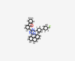 Fc1ccc(-c2ccc(-c3nc(-c4cccc5c4oc4ccccc45)nc(-c4cccc5ccc6ccccc6c45)n3)cc2)cc1